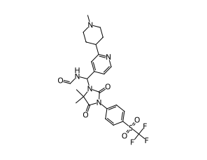 CN1CCC(c2cc(C(NC=O)N3C(=O)N(c4ccc(S(=O)(=O)C(F)(F)F)cc4)C(=O)C3(C)C)ccn2)CC1